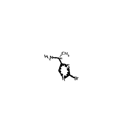 C[C@@H](N)c1cnc(Br)s1